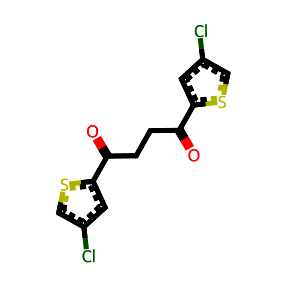 O=C(CCC(=O)c1cc(Cl)cs1)c1cc(Cl)cs1